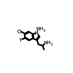 CC(N)Cc1cn(N)c2cc(Cl)c(F)cc12